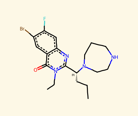 CCC[C@H](c1nc2cc(F)c(Br)cc2c(=O)n1CC)N1CCCNCC1